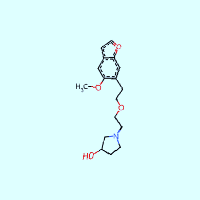 COc1cc2ccoc2cc1CCOCCN1CCC(O)C1